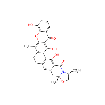 Cc1c2c(c(O)c3c(=O)c4cccc(O)c4oc13)-c1c(cc3c(c1O)C(=O)N1[C@@H](C(=O)O)CO[C@]1(C)C3)CC2